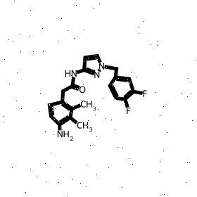 Cc1c(N)ccc(CC(=O)Nc2ccn(Cc3ccc(F)c(F)c3)n2)c1C